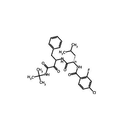 CC(C)C[C@H](NC(=O)c1ccc(Cl)cc1F)C(=O)NC(Cc1ccccc1)C(=O)C(=O)NC(C)(C)C